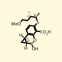 COCC[C@H](C)[C@@H](C)Sc1ccc2c(c1C(=O)O)OB(O)[C@@H]1C[C@H]21